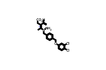 C=C(C)/C(CC(=O)O)=C(/C)N(N)Cc1ccc(COc2ccc(Cl)c(Cl)c2)cc1